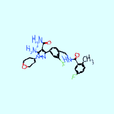 Cc1ccc(F)cc1C(=O)NCc1ccc(-c2nn(C3CCOCC3)c(N)c2C(N)=O)cc1F